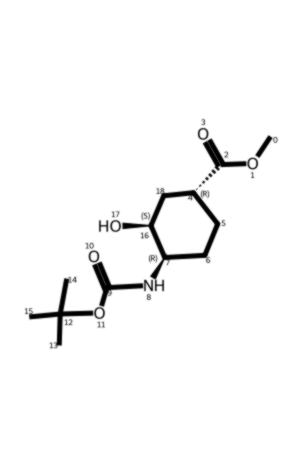 COC(=O)[C@@H]1CC[C@@H](NC(=O)OC(C)(C)C)[C@@H](O)C1